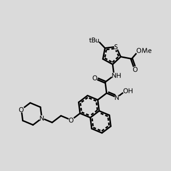 COC(=O)c1sc(C(C)(C)C)cc1NC(=O)C(=NO)c1ccc(OCCN2CCOCC2)c2ccccc12